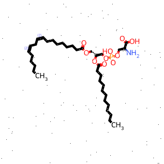 CCCCC/C=C\C/C=C\CCCCCCCC(=O)OC[C@H](COP(=O)(O)OC[C@H](N)C(=O)O)OC(=O)CCCCCCCCCCCC